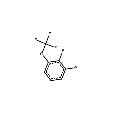 Fc1c([S])cccc1OC(F)(F)F